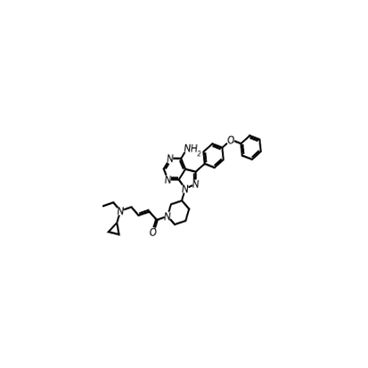 CCN(C/C=C/C(=O)N1CCCC(n2nc(-c3ccc(Oc4ccccc4)cc3)c3c(N)ncnc32)C1)C1CC1